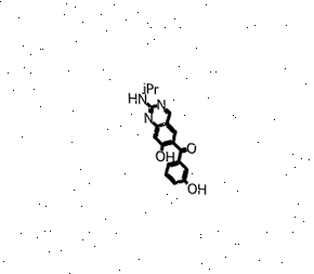 CC(C)Nc1ncc2cc(C(=O)c3cccc(O)c3)c(O)cc2n1